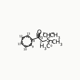 C[SH](C)(C)(C)CC(=O)c1ccccc1